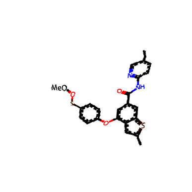 COOSc1ccc(Oc2cc(C(=O)Nc3ccc(C)cn3)cc3sc(C)cc23)cc1